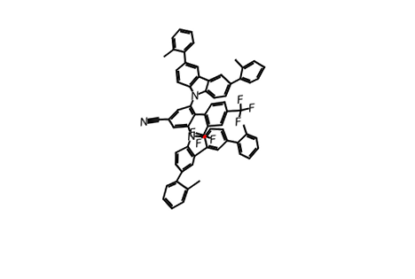 Cc1ccccc1-c1ccc2c(c1)c1cc(-c3ccccc3C)ccc1n2-c1cc(C#N)cc(-n2c3ccc(-c4ccccc4C)cc3c3cc(-c4ccccc4C)ccc32)c1-c1ccc(C(F)(F)F)cc1C(F)(F)F